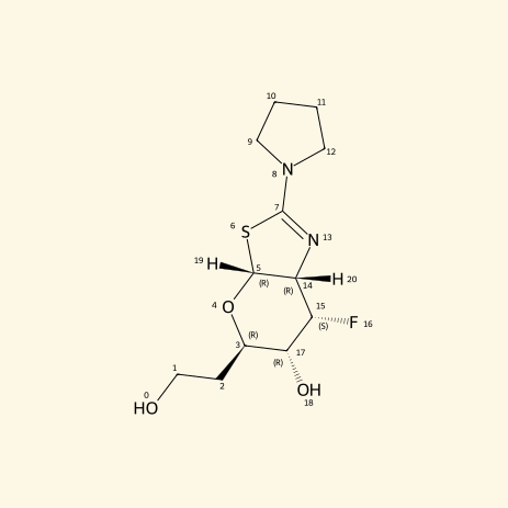 OCC[C@H]1O[C@@H]2SC(N3CCCC3)=N[C@@H]2[C@H](F)[C@@H]1O